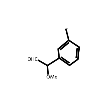 [CH2]c1cccc(C(C=O)OC)c1